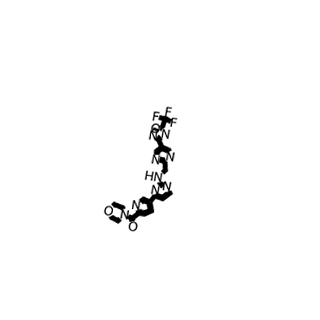 O=C(c1ccc(-c2ccnc(NCc3ncc(-c4noc(C(F)(F)F)n4)cn3)n2)cn1)N1CCOCC1